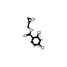 O=C(OCC1CO1)c1ccc(Cl)cc1Cl